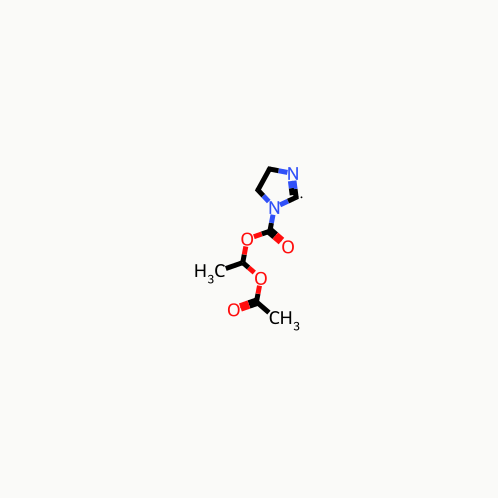 CC(=O)OC(C)OC(=O)N1[C]=NCC1